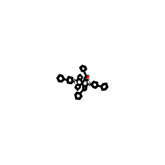 C1=CC2=C(C1)C1(C3=C(C=CC3)N2c2ccc(-c3ccccc3)cc2)c2cc(-c3ccccc3)ccc2N(c2ccc(-c3ccccc3)cc2)c2ccc(-c3ccccc3)cc21